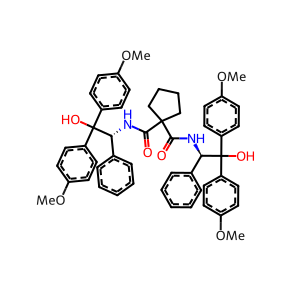 COc1ccc(C(O)(c2ccc(OC)cc2)[C@H](NC(=O)C2(C(=O)N[C@H](c3ccccc3)C(O)(c3ccc(OC)cc3)c3ccc(OC)cc3)CCCC2)c2ccccc2)cc1